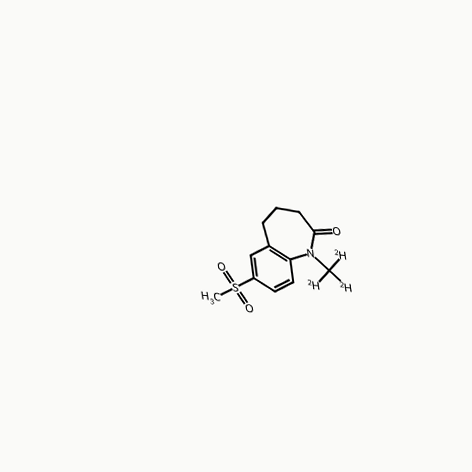 [2H]C([2H])([2H])N1C(=O)CCCc2cc(S(C)(=O)=O)ccc21